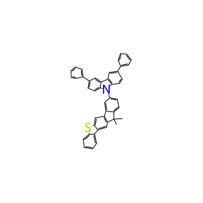 CC1(C)c2ccc(-n3c4ccc(-c5ccccc5)cc4c4cc(-c5ccccc5)ccc43)cc2-c2cc3sc4ccccc4c3cc21